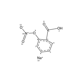 O=C(O)c1ccccc1O[N+](=O)[O-].[Na+]